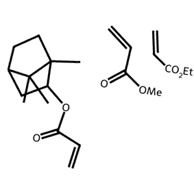 C=CC(=O)OC.C=CC(=O)OC1CC2CCC1(C)C2(C)C.C=CC(=O)OCC